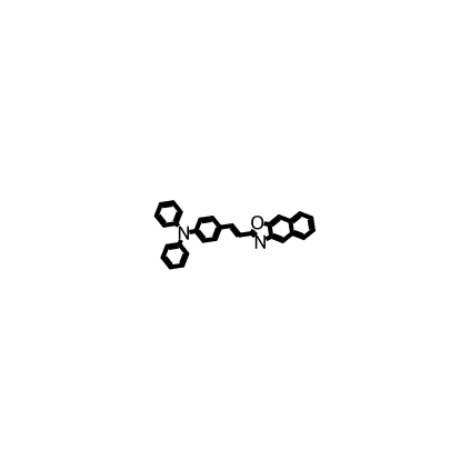 C(=Cc1nc2cc3ccccc3cc2o1)c1ccc(N(c2ccccc2)c2ccccc2)cc1